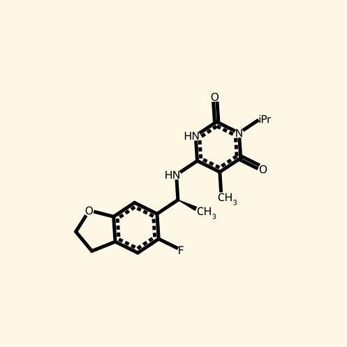 Cc1c(N[C@@H](C)c2cc3c(cc2F)CCO3)[nH]c(=O)n(C(C)C)c1=O